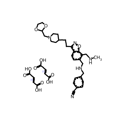 CNCc1c(CNCc2ccc(C#N)cc2)ccc2c(CCC3CCN(CC4OCCO4)CC3)noc12.O=C(O)/C=C/C(=O)O.O=C(O)/C=C/C(=O)O